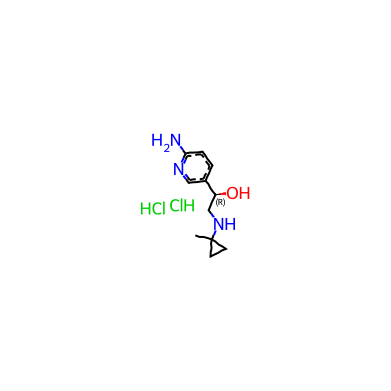 CC1(NC[C@H](O)c2ccc(N)nc2)CC1.Cl.Cl